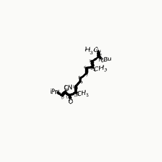 C\C=C(/C=C(C)/C=C/CC/C=C(\C)C(=O)/C(C#N)=C/C(C)C)C(C)(C)C